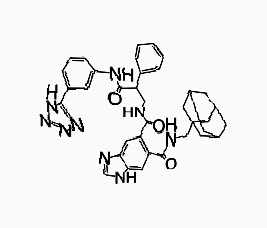 O=C(NCC(C(=O)Nc1cccc(-c2nnn[nH]2)c1)c1ccccc1)c1cc2nc[nH]c2cc1C(=O)NCC12CC3CC(CC(C3)C1)C2